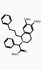 COC(=O)C(c1ccccc1)N1CCc2cc(OC)c(OC)cc2C1CCCc1ccccc1